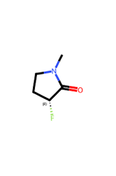 CN1CC[C@@H](F)C1=O